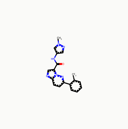 Cn1cc(NC(=O)c2cnc3ccc(-c4ccccc4C(F)(F)F)nn23)cn1